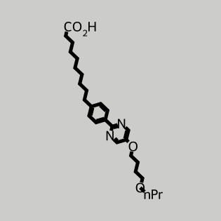 CCCOCCCCOc1cnc(-c2ccc(CCCCCCCCCC(=O)O)cc2)nc1